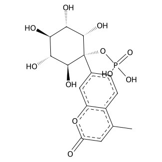 Cc1cc(=O)oc2cc([C@@]3(OP(=O)(O)O)[C@@H](O)[C@H](O)[C@@H](O)[C@H](O)[C@@H]3O)ccc12